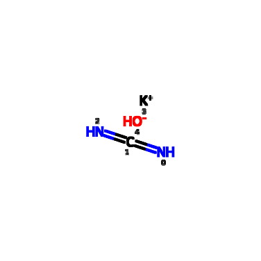 N=C=N.[K+].[OH-]